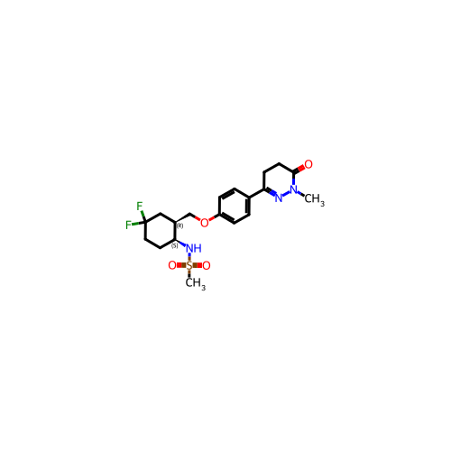 CN1N=C(c2ccc(OC[C@@H]3CC(F)(F)CC[C@@H]3NS(C)(=O)=O)cc2)CCC1=O